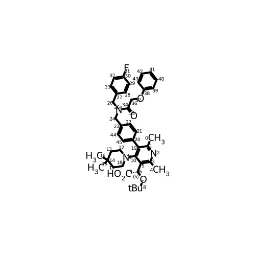 Cc1nc(C)c([C@H](OC(C)(C)C)C(=O)O)c(N2CCC(C)(C)CC2)c1-c1ccc(CN(Cc2ccc(F)cc2)C(=O)COc2ccccc2)cc1